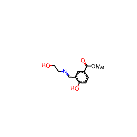 COC(=O)c1ccc(O)c(C=NCCO)c1